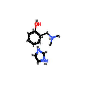 CN(C)Cc1ccccc1O.c1c[nH]cn1